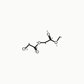 COC(=O)COC(=O)CCl